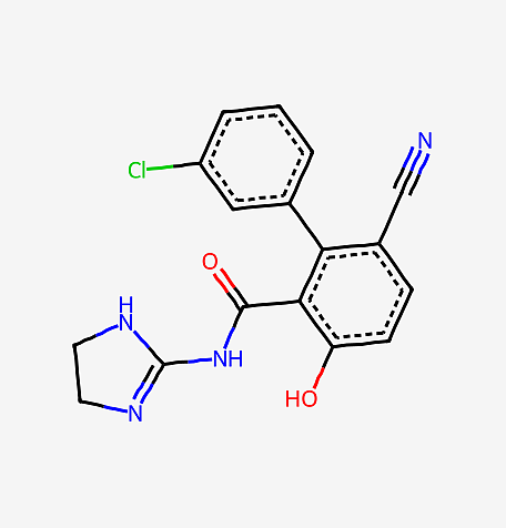 N#Cc1ccc(O)c(C(=O)NC2=NCCN2)c1-c1cccc(Cl)c1